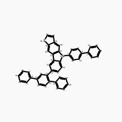 c1ccc(-c2ccc(-n3c4ccc(-c5cc(-c6ccccc6)ccc5-c5ccccc5)cc4c4cc5sccc5cc43)cc2)cc1